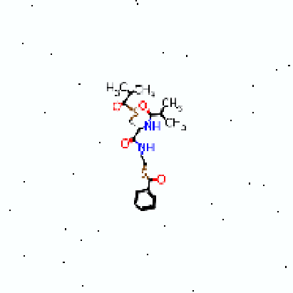 CC(C)C(=O)N[C@@H](CSC(=O)C(C)C)C(=O)NCCSC(=O)c1ccccc1